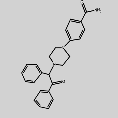 NC(=O)c1ccc(N2CCN(C(C(=O)c3ccccc3)c3ccccc3)CC2)cc1